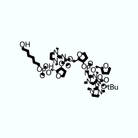 CN1CCN(C)C1=NP(=O)(OC[C@H]1OCC[C@H]1OP(=O)(N=C1N(C)CCN1C)OC[C@H]1OCC[C@H]1OP(=O)(N=C1N(C)CCN1C)OC(C)(C)C)O[C@@H]1CCO[C@@H]1COP(=O)(O)OCCCCCCO